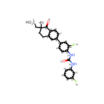 CCC1(CC(=O)O)CCc2cc(-c3ccc(NC(=O)Nc4cccc(F)c4)c(F)c3)ccc2C1=O